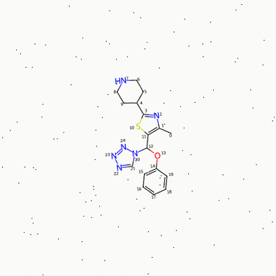 Cc1nc(C2CCNCC2)sc1C(Oc1ccccc1)n1cnnn1